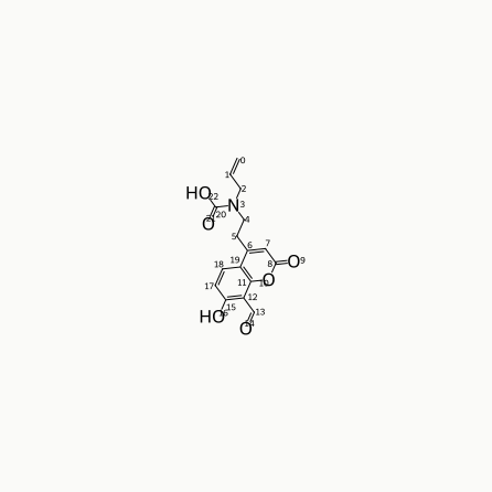 C=CCN(CCc1cc(=O)oc2c(C=O)c(O)ccc12)C(=O)O